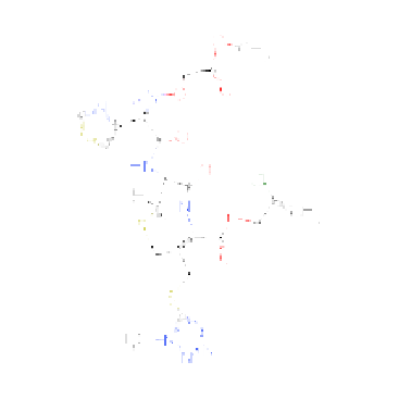 C=C(Cl)COC(=O)C1=C(CSc2nnnn2C)CS[C@@H]2C(NC(=O)/C(=N\OCC(=O)OC)c3cscn3)C(=O)N12